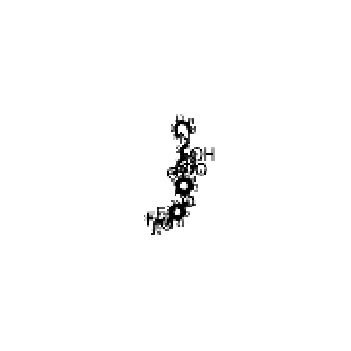 O=CN(O)C(CCN1CCCCC1)CS(=O)(=O)c1ccc(Oc2ccc(OC(F)(F)F)cc2)cc1